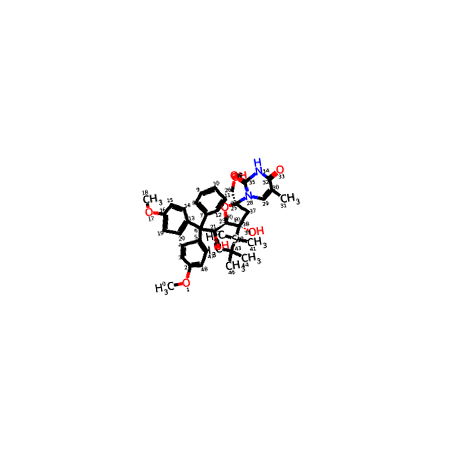 COc1ccc(C(c2ccccc2)(c2ccc(OC)cc2)C(O)[C@H]2O[C@@](CO)(n3cc(C)c(=O)[nH]c3=O)C[C@@]2(O)[Si](C)(C)C(C)(C)C)cc1